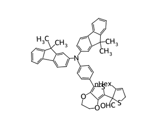 CCCCCCC1=CCSC1(C=O)c1sc(-c2ccc(N(c3ccc4c(c3)C(C)(C)c3ccccc3-4)c3ccc4c(c3)C(C)(C)c3ccccc3-4)cc2)c2c1OCCO2